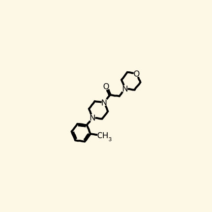 Cc1ccccc1N1CCN(C(=O)CN2CCOCC2)CC1